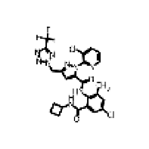 Cc1cc(Cl)cc(C(=O)NC2CCC2)c1NC(=O)c1cc(Cn2nnc(C(F)(F)F)n2)nn1-c1ncccc1Cl